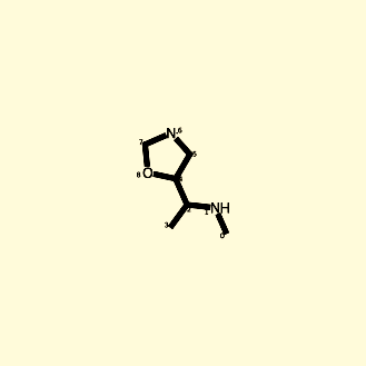 CNC(C)C1C[N]CO1